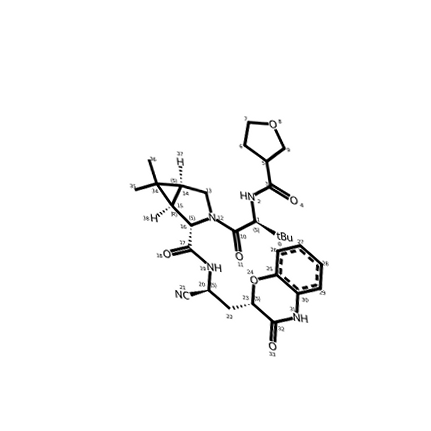 CC(C)(C)[C@H](NC(=O)C1CCOC1)C(=O)N1C[C@H]2[C@@H]([C@H]1C(=O)N[C@H](C#N)C[C@@H]1Oc3ccccc3NC1=O)C2(C)C